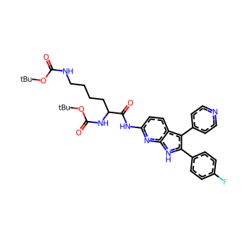 CC(C)(C)OC(=O)NCCCCC(NC(=O)OC(C)(C)C)C(=O)Nc1ccc2c(-c3ccncc3)c(-c3ccc(F)cc3)[nH]c2n1